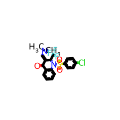 CN(C)C=C1C(=O)c2ccccc2N(S(=O)(=O)c2ccc(Cl)cc2)C1C(F)(F)F